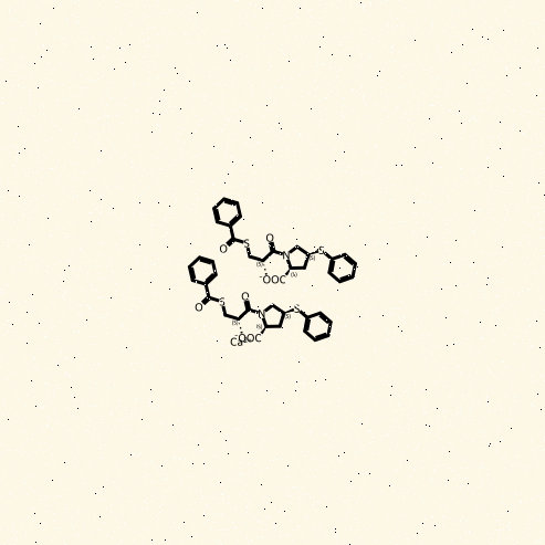 C[C@H](CSC(=O)c1ccccc1)C(=O)N1C[C@@H](Sc2ccccc2)C[C@H]1C(=O)[O-].C[C@H](CSC(=O)c1ccccc1)C(=O)N1C[C@@H](Sc2ccccc2)C[C@H]1C(=O)[O-].[Ca+2]